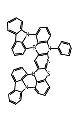 c1ccc(N2c3cccc4c3B(c3cc5c(nc32)Sc2cccc3c2B5c2cccc5c6ccccc6n-3c25)c2cccc3c5ccccc5n-4c23)cc1